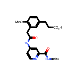 COc1ccc(CCC(=O)O)cc1CC(=O)Nc1ccnc(C(=O)NC(C)(C)C)c1